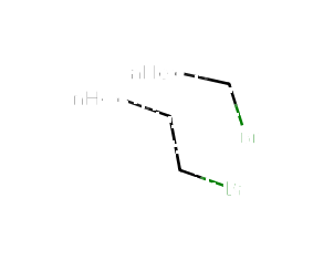 CCCCCCCBr.CCCCCCCCBr